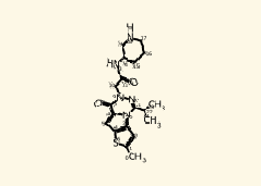 Cc1cc2c(cc3c(=O)n(CC(=O)N[C@@H]4CCCNC4)nc(C(C)C)n32)s1